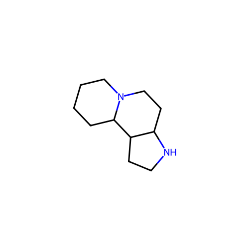 C1CCN2CCC3NCCC3C2C1